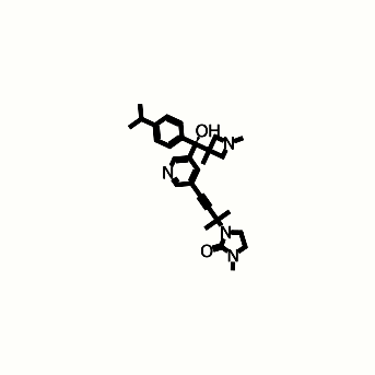 CC(C)c1ccc([C@](O)(c2cncc(C#CC(C)(C)N3CCN(C)C3=O)c2)C2(C)CN(C)C2)cc1